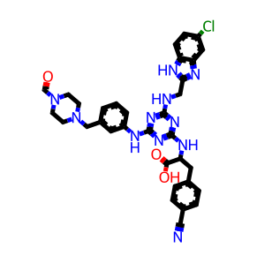 N#Cc1ccc(CC(Nc2nc(NCc3nc4cc(Cl)ccc4[nH]3)nc(Nc3cccc(CN4CCN(C=O)CC4)c3)n2)C(=O)O)cc1